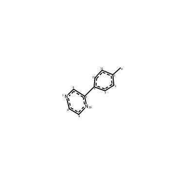 Cc1ccc(-c2[c]nccn2)cc1